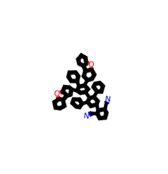 N#Cc1cccc(C#N)c1-c1cc(-c2ccccc2)c(-c2cc(-c3ccc4oc5ccccc5c4c3)c(-c3ccccc3)c(-c3ccc4oc5ccccc5c4c3)c2)c(-c2ccccc2)c1